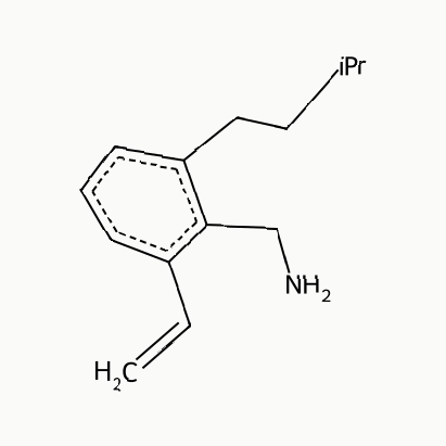 C=Cc1cccc(CCC(C)C)c1CN